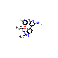 Cc1nc2ccc(-c3cc(N)nc(N)c3)nc2n1CC(C)Oc1cccc(F)c1